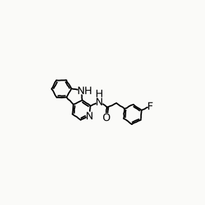 O=C(Cc1cccc(F)c1)Nc1nccc2c1[nH]c1ccccc12